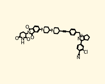 N#Cc1ccc(-c2nn(Cc3ccc(C#CC4CCN(C5CCN(c6ccc7c(c6)C(=O)N(C6CCC(=O)NC6=O)C7=O)CC5)CC4)cc3)c3c2CCC3)cc1Cl